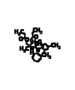 C=CC(=O)CCC(C)(COC(=O)C=C)NC(=C)N(C1=CC=CCC=C1)c1c(C)cc(C)cc1C